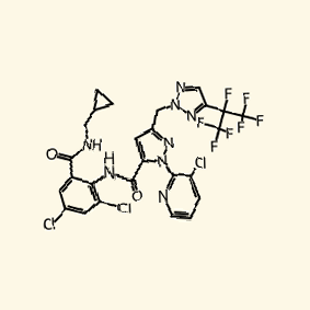 O=C(NCC1CC1)c1cc(Cl)cc(Cl)c1NC(=O)c1cc(Cn2ncc(C(F)(C(F)(F)F)C(F)(F)F)n2)nn1-c1ncccc1Cl